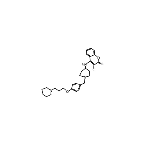 O=c1oc2ccccc2c(NC2CCN(Cc3ccc(OCCCN4CCCCC4)cc3)CC2)c1Cl